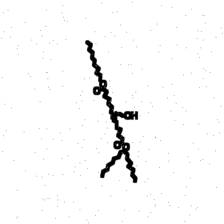 CCCCCCCCCCCOC(=O)CCCCCCN(CCO)CCCCCCC(=O)OC(CCCCCCCC)CCCCCCCC